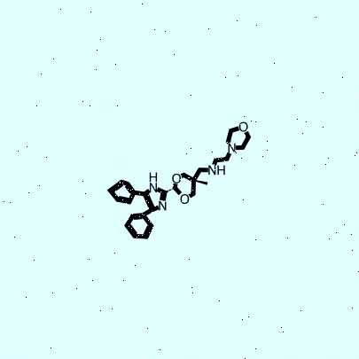 C[C@]1(CNCCN2CCOCC2)CO[C@@H](c2nc(-c3ccccc3)c(-c3ccccc3)[nH]2)OC1